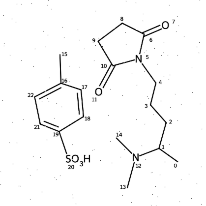 CC(CCCN1C(=O)CCC1=O)N(C)C.Cc1ccc(S(=O)(=O)O)cc1